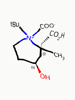 CC(C)(C)[N+]1(C(=O)[O-])CC[C@H](O)[C@@]1(C)C(=O)O